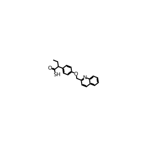 CCC(C(=O)S)c1ccc(OCc2ccc3ccccc3n2)cc1